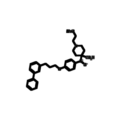 COCCN1CCC(C(=O)O)([S+]([O-])c2ccc(OCCCc3cccc(-c4ccccc4)c3)cc2)CC1